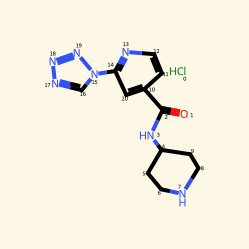 Cl.O=C(NC1CCNCC1)c1ccnc(-n2cnnn2)c1